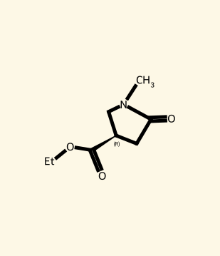 CCOC(=O)[C@@H]1CC(=O)N(C)C1